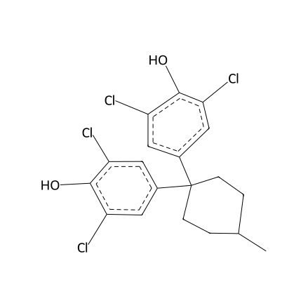 CC1CCC(c2cc(Cl)c(O)c(Cl)c2)(c2cc(Cl)c(O)c(Cl)c2)CC1